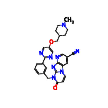 CN1CCC(COc2cnc(-c3cccc(Cn4c(=O)ccn5c6cc(C#N)cnc6nc45)c3)nc2)CC1